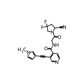 Cn1ccc(C#Cc2cnccc2C(=O)NCC(=O)N2CC(F)(F)CC2C#N)c1